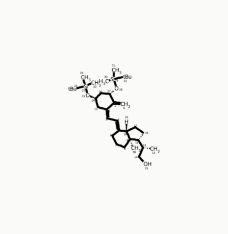 C=C1/C(=C\C=C2/CCC[C@]3(C)[C@@H]([C@H](C)CO)CC[C@@H]23)C[C@@H](O[Si](C)(C)C(C)(C)C)C[C@@H]1O[Si](C)(C)C(C)(C)C